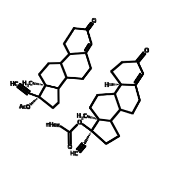 C#C[C@@]1(OC(=O)CCCCCC)CCC2C3CCC4=CC(=O)CC[C@@H]4C3CC[C@@]21C.C#C[C@]1(OC(C)=O)CCC2C3CCC4=CC(=O)CCC4C3CC[C@@]21C